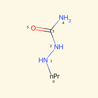 [CH2]CCNNC(N)=O